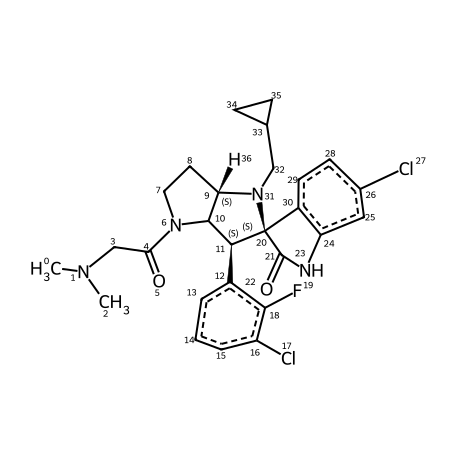 CN(C)CC(=O)N1CC[C@H]2C1[C@H](c1cccc(Cl)c1F)[C@]1(C(=O)Nc3cc(Cl)ccc31)N2CC1CC1